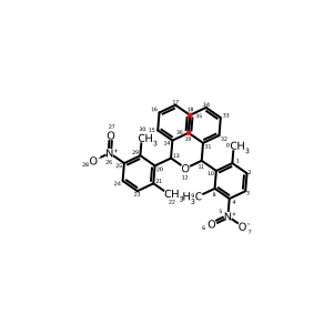 Cc1ccc([N+](=O)[O-])c(C)c1C(OC(c1ccccc1)c1c(C)ccc([N+](=O)[O-])c1C)c1ccccc1